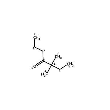 [CH2]CC(C)(C)C(=O)CCC